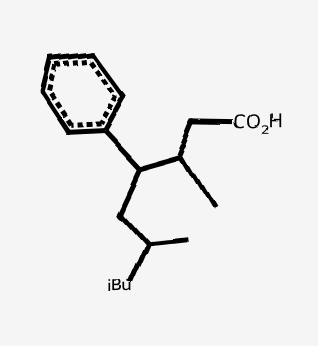 CCC(C)C(C)CC(c1ccccc1)C(C)CC(=O)O